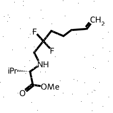 C=CCCCC(F)(F)CN[C@H](C(=O)OC)C(C)C